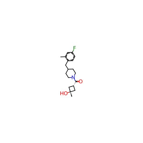 Cc1cc(F)ccc1CC1CCN(C(=O)[C@H]2C[C@@](C)(O)C2)CC1